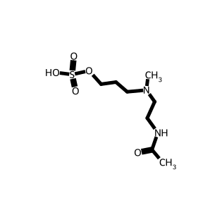 CC(=O)NCCN(C)CCCOS(=O)(=O)O